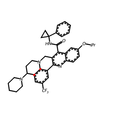 CC(C)Oc1ccc2nc(-c3cccc(C(F)(F)F)c3)c(CN3CCC(N4CCCCC4)CC3)c(C(=O)NC3(c4ccccc4)CC3)c2c1